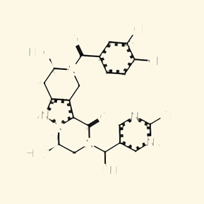 CC(c1cnc(Cl)nc1)N1C[C@@H](C)n2nc3c(c2C1=O)CN(C(=O)c1ccc(Cl)c(Cl)c1)[C@H](C)C3